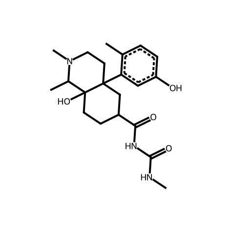 CNC(=O)NC(=O)C1CCC2(O)C(C)N(C)CCC2(c2cc(O)ccc2C)C1